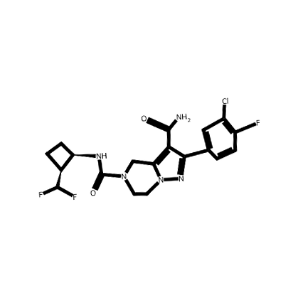 NC(=O)c1c(-c2ccc(F)c(Cl)c2)nn2c1CN(C(=O)N[C@@H]1CC[C@@H]1C(F)F)CC2